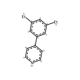 CCc1[c]c(CC)cc(-c2ccncc2)c1